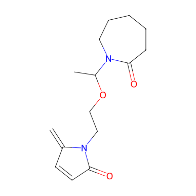 C=C1C=CC(=O)N1CCOC(C)N1CCCCCC1=O